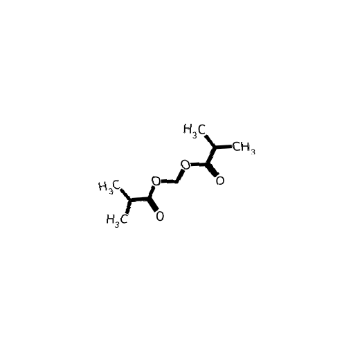 CC(C)C(=O)OCOC(=O)C(C)C